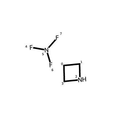 C1CNC1.FN(F)F